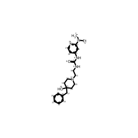 CCN(C)c1cc(NC(=O)NCCN2CCC(O)(Cc3ccccc3)CC2)ccn1